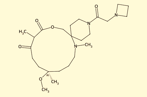 CO[C@]1(C)CCCN(C)C2(CCN(C(=O)CN3CCC3)CC2)COC(=O)C(C)C(=O)CC1